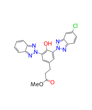 COC(=O)CCc1cc(-n2nc3ccccc3n2)c(O)c(-n2nc3ccc(Cl)cc3n2)c1